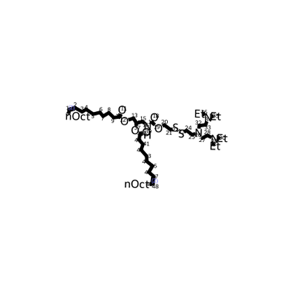 CCCCCCCC/C=C\CCCCCCCC(=O)OCC(CNC(=O)OCCSSCCN(CCN(CC)CC)CCN(CC)CC)OC(=O)CCCCCCC/C=C\CCCCCCCC